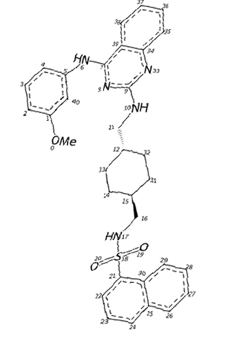 COc1cccc(Nc2nc(NC[C@H]3CC[C@H](CNS(=O)(=O)c4cccc5ccccc45)CC3)nc3ccccc23)c1